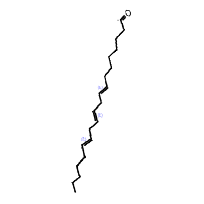 CCCCC/C=C/C/C=C/C/C=C/CCCCCC[C]=O